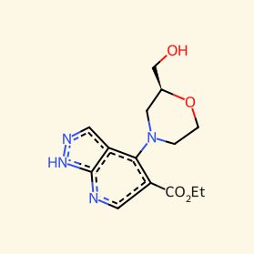 CCOC(=O)c1cnc2[nH]ncc2c1N1CCO[C@H](CO)C1